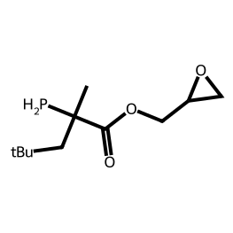 CC(C)(C)CC(C)(P)C(=O)OCC1CO1